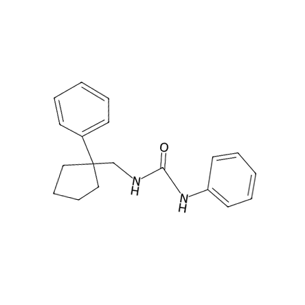 O=C(NCC1(c2ccccc2)CCCC1)Nc1ccccc1